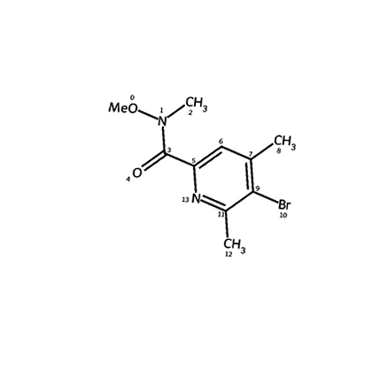 CON(C)C(=O)c1cc(C)c(Br)c(C)n1